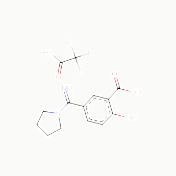 N=C(c1ccc(O)c(C(=O)O)c1)N1CCCC1.O=C(O)C(F)(F)F